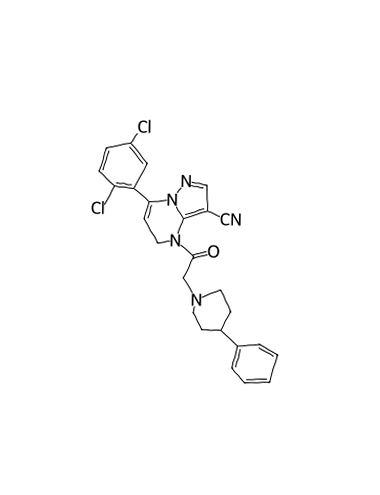 N#Cc1cnn2c1N(C(=O)CN1CCC(c3ccccc3)CC1)CC=C2c1cc(Cl)ccc1Cl